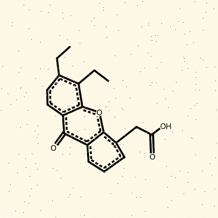 CCc1ccc2c(=O)c3cccc(CC(=O)O)c3oc2c1CC